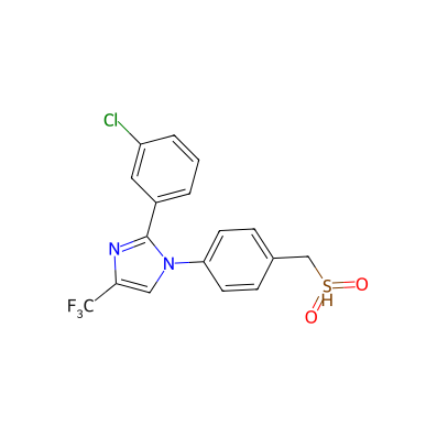 O=[SH](=O)Cc1ccc(-n2cc(C(F)(F)F)nc2-c2cccc(Cl)c2)cc1